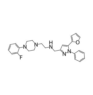 Fc1ccccc1N1CCN(CCNCc2cc(-c3ccco3)n(-c3ccccc3)n2)CC1